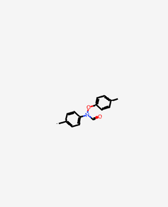 [CH2]c1ccc(N(C=O)Oc2ccc(C)cc2)cc1